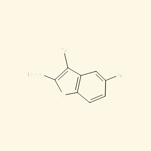 Nc1c(C(=O)O)sc2ccc(Br)cc12